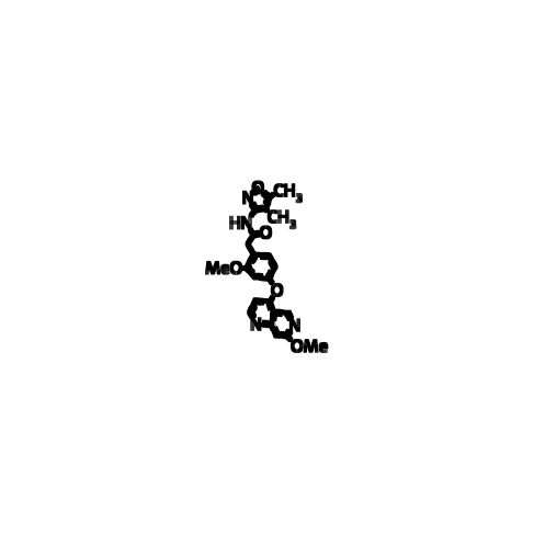 COc1cc2nccc(Oc3ccc(CC(=O)Nc4noc(C)c4C)c(OC)c3)c2cn1